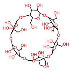 OCC1OC2OC3C(CO)OC(OC4C(CO)OC(OC5C(CO)OC(O[C@@H]6C(CO)OC(OC7C(CO)OC(OC1C(O)C2O)C(O)C7O)C(O)C6O)C(O)C5O)[C@@H](O)C4O)C(O)C3O